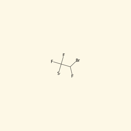 FC(Br)C(F)(F)[S]